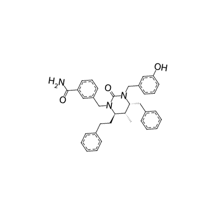 C[C@@H]1[C@@H](CCc2ccccc2)N(Cc2cccc(C(N)=O)c2)C(=O)N(Cc2cccc(O)c2)[C@@H]1Cc1ccccc1